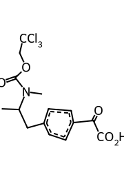 CC(Cc1ccc(C(=O)C(=O)O)cc1)N(C)C(=O)OCC(Cl)(Cl)Cl